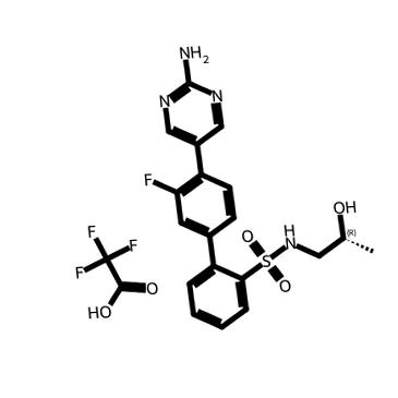 C[C@@H](O)CNS(=O)(=O)c1ccccc1-c1ccc(-c2cnc(N)nc2)c(F)c1.O=C(O)C(F)(F)F